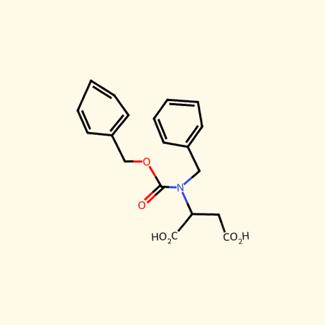 O=C(O)CC(C(=O)O)N(Cc1ccccc1)C(=O)OCc1ccccc1